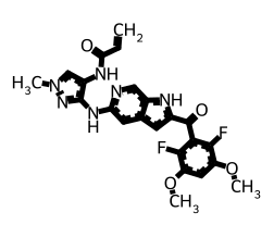 C=CC(=O)Nc1cn(C)nc1Nc1cc2cc(C(=O)c3c(F)c(OC)cc(OC)c3F)[nH]c2cn1